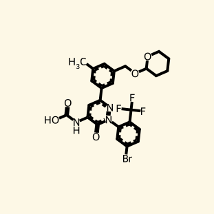 Cc1cc(COC2CCCCO2)cc(-c2cc(NC(=O)O)c(=O)n(-c3cc(Br)ccc3C(F)(F)F)n2)c1